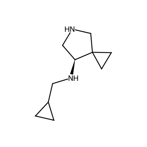 C1CC1CN[C@H]1CNCC12CC2